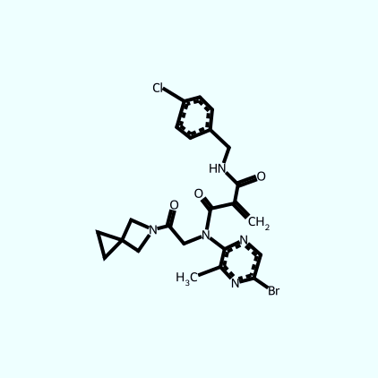 C=C(C(=O)NCc1ccc(Cl)cc1)C(=O)N(CC(=O)N1CC2(CC2)C1)c1ncc(Br)nc1C